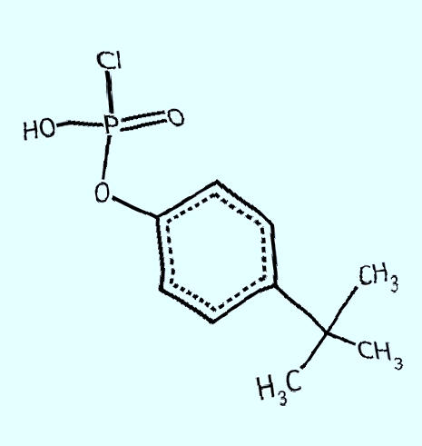 CC(C)(C)c1ccc(OP(=O)(O)Cl)cc1